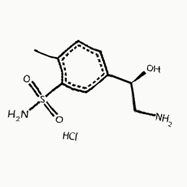 Cc1ccc([C@@H](O)CN)cc1S(N)(=O)=O.Cl